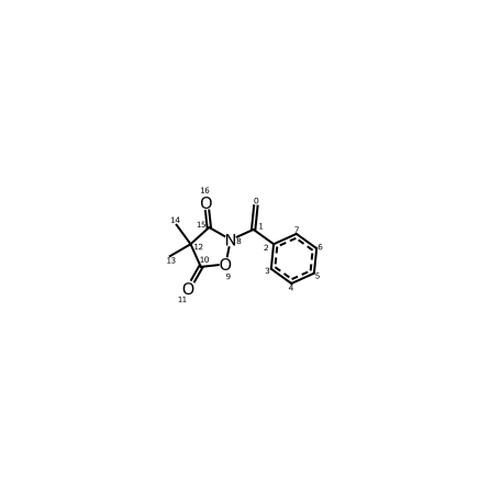 C=C(c1ccccc1)N1OC(=O)C(C)(C)C1=O